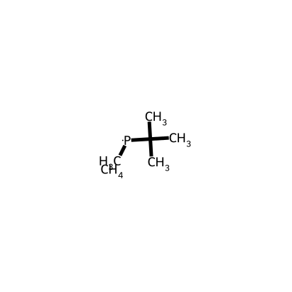 C.C[P]C(C)(C)C